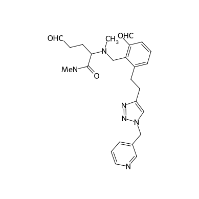 CNC(=O)C(CCC=O)N(C)Cc1c(C=O)cccc1CCc1cn(Cc2cccnc2)nn1